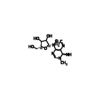 C=Nc1c(N(C)[C@@H]2O[C@H](CO)C(O)C2O)ncn(C)c1=N